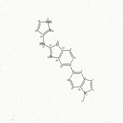 Cn1ccc2cc(-c3ccc4oc(Nc5cc[nH]n5)nc4c3)ccc21